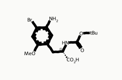 COc1cc(Br)c(N)cc1C[C@H](NC(=O)OC(C)(C)C)C(=O)O